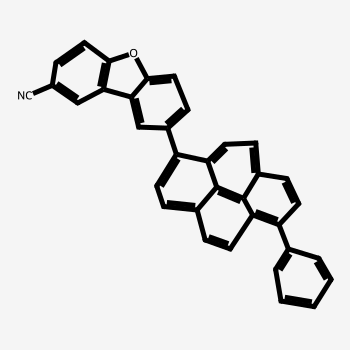 N#Cc1ccc2oc3ccc(-c4ccc5ccc6c(-c7ccccc7)ccc7ccc4c5c76)cc3c2c1